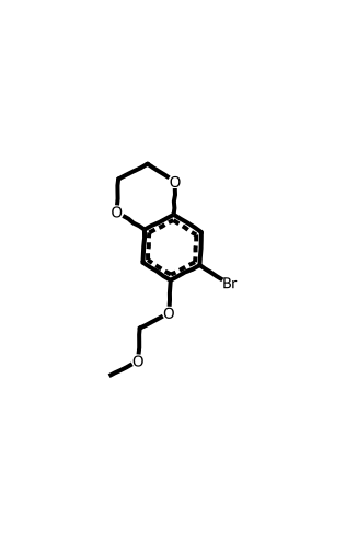 COCOc1cc2c(cc1Br)OCCO2